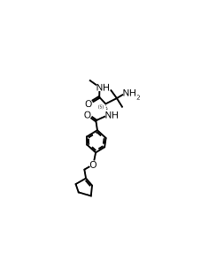 CNC(=O)[C@@H](NC(=O)c1ccc(OCC2=CCCC2)cc1)C(C)(C)N